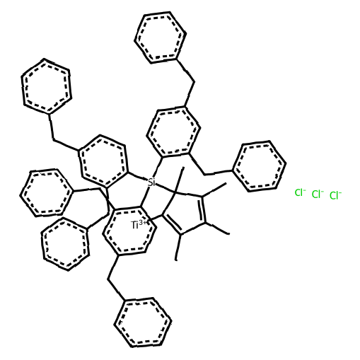 CC1=C(C)C(C)([Si](c2ccc(Cc3ccccc3)cc2Cc2ccccc2)(c2ccc(Cc3ccccc3)cc2Cc2ccccc2)c2ccc(Cc3ccccc3)cc2Cc2ccccc2)[C]([Ti+3])=C1C.[Cl-].[Cl-].[Cl-]